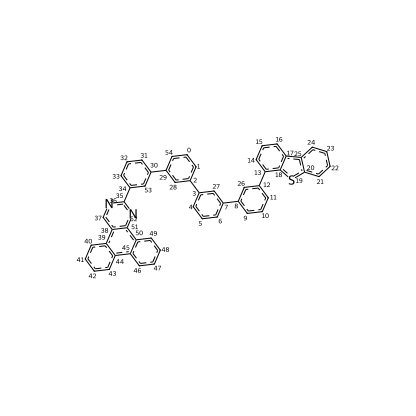 c1cc(-c2cccc(-c3cccc(-c4cccc5c4sc4ccccc45)c3)c2)cc(-c2cccc(-c3ncc4c5ccccc5c5ccccc5c4n3)c2)c1